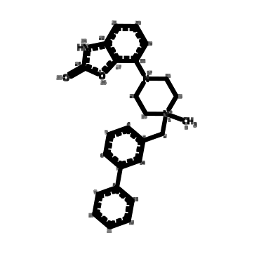 C[N+]1(Cc2cccc(-c3ccccc3)c2)CCN(c2cccc3[nH]c(=O)oc23)CC1